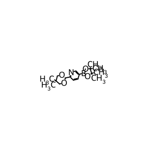 CC1(C)COC(c2ccc(B3OC(C)(C)C(C)(C)O3)cn2)OC1